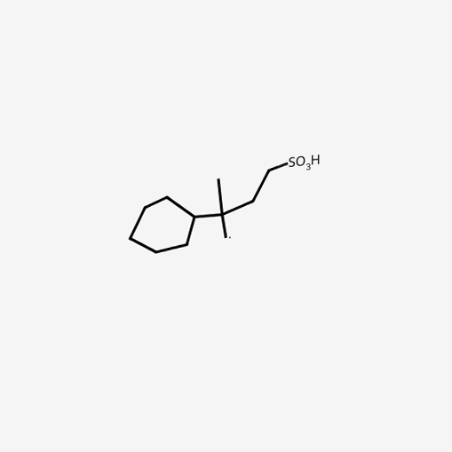 [CH2]C(C)(CCS(=O)(=O)O)C1CCCCC1